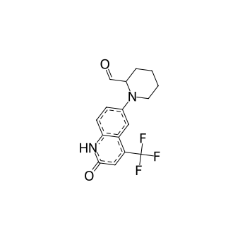 O=CC1CCCCN1c1ccc2[nH]c(=O)cc(C(F)(F)F)c2c1